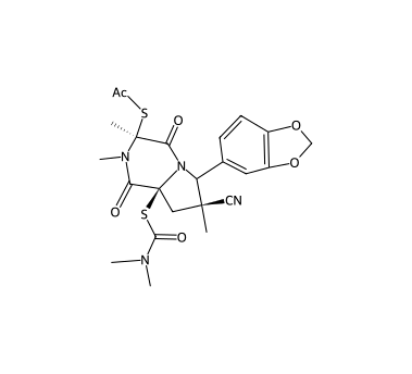 CC(=O)S[C@@]1(C)C(=O)N2C(c3ccc4c(c3)OCO4)[C@@](C)(C#N)C[C@]2(SC(=O)N(C)C)C(=O)N1C